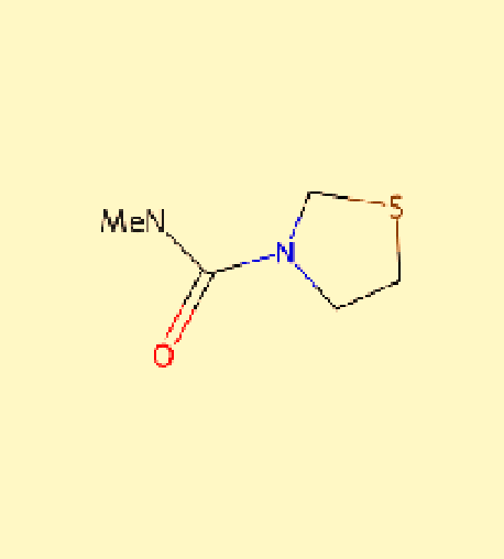 CNC(=O)N1CCSC1